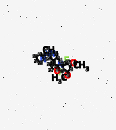 COc1cc(OC)c(F)c(N2Cc3cnc(N(C)c4ccccn4)cc3C3(CC3)C2=O)c1F